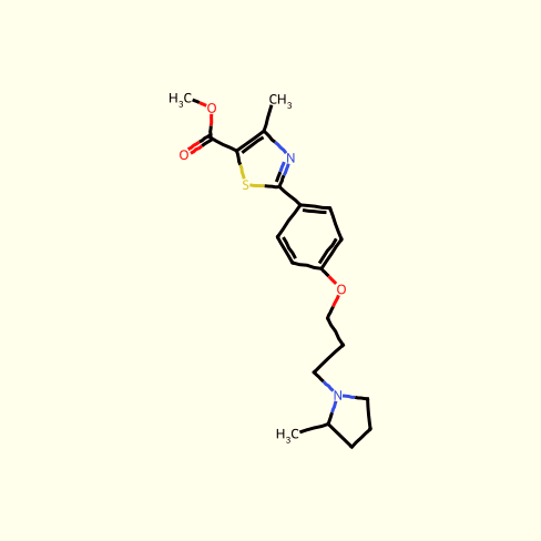 COC(=O)c1sc(-c2ccc(OCCCN3CCCC3C)cc2)nc1C